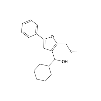 CSCc1oc(-c2ccccc2)cc1C(O)C1CCCCC1